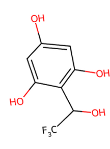 Oc1cc(O)c(C(O)C(F)(F)F)c(O)c1